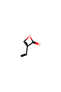 C=CC1=COC1=O